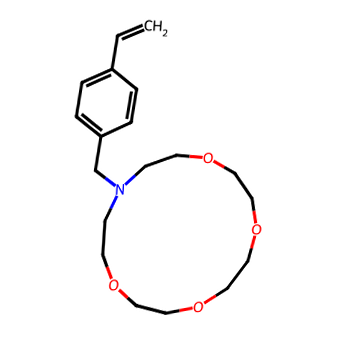 C=Cc1ccc(CN2CCOCCOCCOCCOCC2)cc1